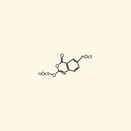 CCCCCCCCOc1nc2ccc(CCCCCCCC)cc2c(=O)o1